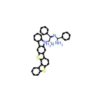 NC(/N=C(/c1ccccc1)[C@H](N)n1c2ccccc2c2cc3sc4c(ccc5sc6ccccc6c54)c3cc21)c1ccccc1